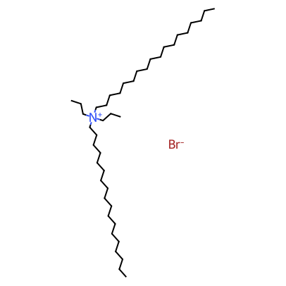 CCCCCCCCCCCCCCCCCC[N+](CCC)(CCC)CCCCCCCCCCCCCCCCCC.[Br-]